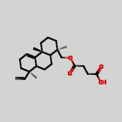 C=C[C@@]1(C)CCC=C2C1CCC1[C@](C)(COC(=O)CCC(=O)O)CCC[C@@]21C